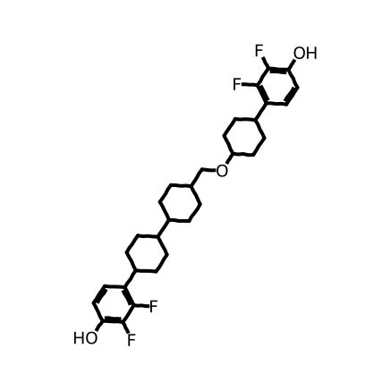 Oc1ccc(C2CCC(OCC3CCC(C4CCC(c5ccc(O)c(F)c5F)CC4)CC3)CC2)c(F)c1F